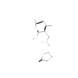 COc1nc(Cl)cc(F)c1CNC[C@@H]1CCC(=O)N1